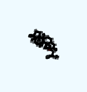 CCCC(=O)SCC[C@]12C=CC(=O)CC1CC[C@@H]1[C@H]2CC[C@]2(C)C(=O)CC[C@@H]12